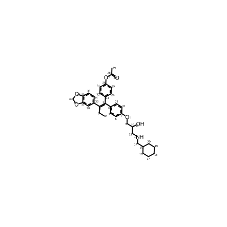 CCC(=C(c1ccc(OCC(O)CNCC2CCCCC2)cc1)c1ccc(OC(C)=O)cc1)c1ccc2c(c1)OCO2